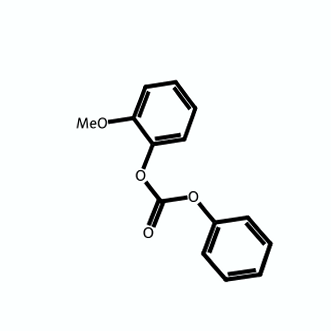 COc1ccccc1OC(=O)Oc1ccccc1